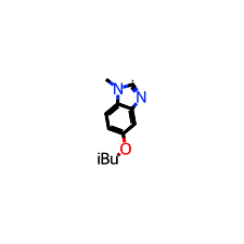 CCC(C)Oc1ccc2c(c1)n[c]n2C